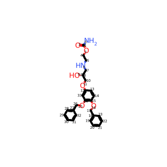 NC(=O)OCCNC[C@@H](O)COc1ccc(OCc2ccccc2)c(OCc2ccccc2)c1